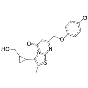 Cc1sc2nc(COc3ccc(Cl)cc3)cc(=O)n2c1C1CC1CO